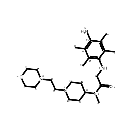 Cc1c(C)c(NCC(=O)N(C)C2CCN(CCN3CCOCC3)CC2)c(C)c(C)c1N